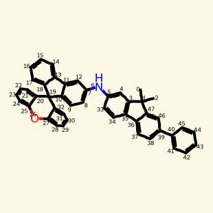 CC1(C)c2cc(Nc3ccc4c(c3)-c3ccccc3C43c4ccccc4Oc4ccccc43)ccc2-c2ccc(-c3ccccc3)cc21